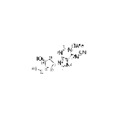 COn1cnc2c(ncn2[C@@H]2C[C@H](CI)[C@@H](O)C2)c1=NC#N